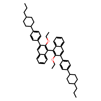 CCCC1CCC(c2ccc(-c3cc4ccccc4c(-c4c(OCC)c(-c5ccc(C6CCC(CCC)CC6)cc5)cc5ccccc45)c3OCC)cc2)CC1